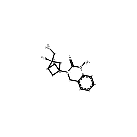 CC(C)(C)OC(=O)N(Cc1ccccc1)C12CC(C1)[C@H](CC#N)C2